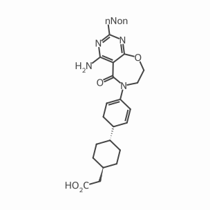 CCCCCCCCCc1nc(N)c2c(n1)OCCN(C1=CCC([C@H]3CC[C@H](CC(=O)O)CC3)C=C1)C2=O